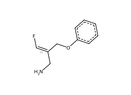 NC/C(=C/F)COc1ccccc1